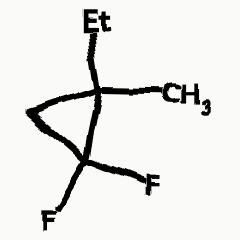 CCC1(C)CC1(F)F